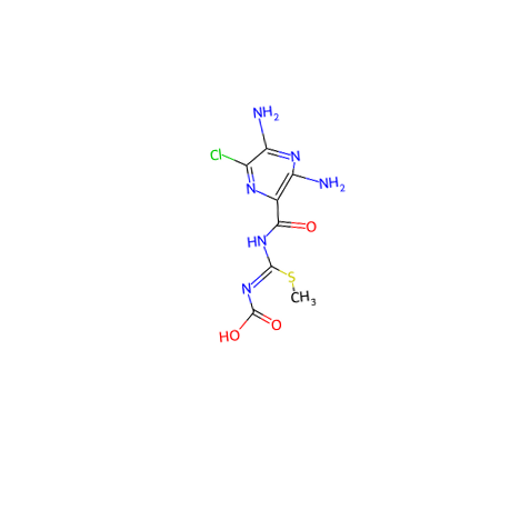 CS/C(=N\C(=O)O)NC(=O)c1nc(Cl)c(N)nc1N